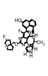 C#Cc1cccc2cc(O)cc(-c3nc4c5c(nc(OC[C@@]67CCCN6C[C@H](F)C7)nc5c3F)N3C[C@H]5CC6[C@H](N5)C63[C@H](C)O4)c12